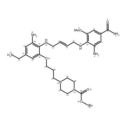 COc1cc(C(N)=O)cc(N)c1NC/C=C/CNc1c(N)cc(CN)cc1OCCCN1CCN(C(=O)OC(C)(C)C)CC1